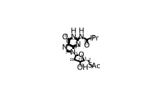 CC(=O)SC[C@H]1O[C@@H](n2cnc3c(=O)[nH]c(NC(=O)C(C)C)nc32)CC1O